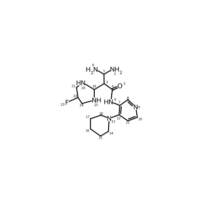 NC(N)C(C(=O)Nc1cnccc1N1CCCCC1)C1NCC(F)CN1